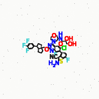 N#Cc1c(N)sc2c(F)ccc(-c3c(Cl)cc4c(N5CCOCC(NC(=O)C(O)CO)C5)nc(OCC56CCCC5C(c5cc(F)c(F)c(F)c5)CC6)nc4c3F)c12